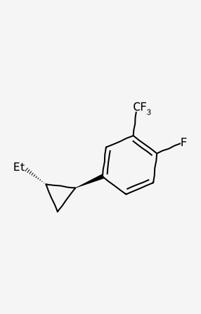 CC[C@H]1C[C@@H]1c1ccc(F)c(C(F)(F)F)c1